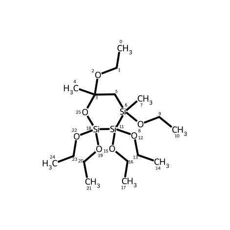 CCOC1(C)C[Si](C)(OCC)[Si](OCC)(OCC)[Si](OCC)(OCC)O1